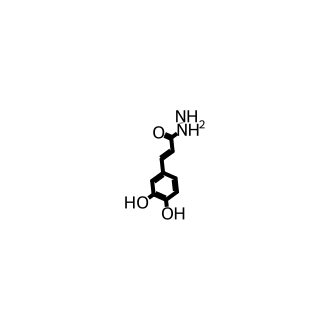 NNC(=O)C=Cc1ccc(O)c(O)c1